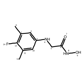 Cc1cc(NCC(=O)NO)cc(C)c1F